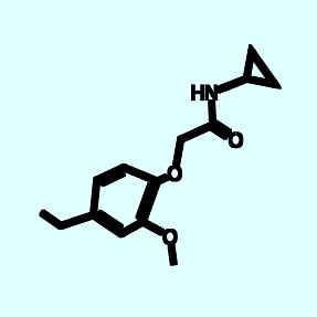 CCc1ccc(OCC(=O)NC2CC2)c(OC)c1